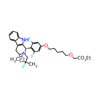 CCOC(=O)COCCCCCOc1cc(F)c([C@@H]2c3[nH]c4ccccc4c3C[C@@H](C)N2CC(C)(C)F)c(F)c1